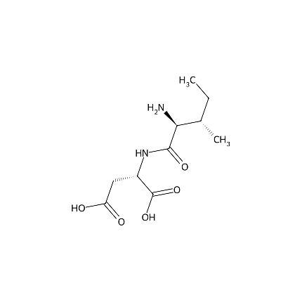 CC[C@H](C)[C@H](N)C(=O)N[C@@H](CC(=O)O)C(=O)O